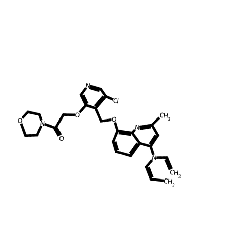 C=CN(/C=C\C)c1cc(C)nc2c(OCc3c(Cl)cncc3OCC(=O)N3CCOCC3)cccc12